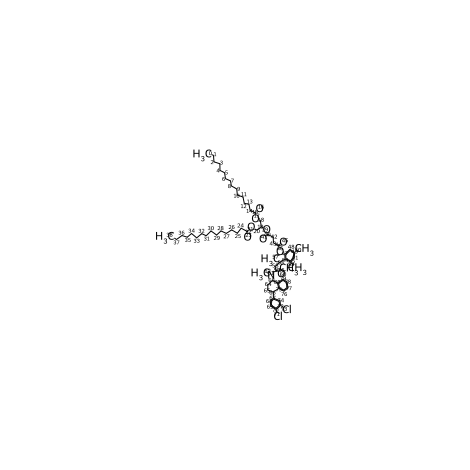 CCCCCCCCCCCCCCCC(=O)OCC(COC(=O)CCCCCCCCCCCCCCC)OC(=O)CCC(=O)Oc1cc(C)cc(C)c1C(C)(C)CC(=O)N(C)[C@H]1CCC(c2ccc(Cl)c(Cl)c2)c2ccccc21